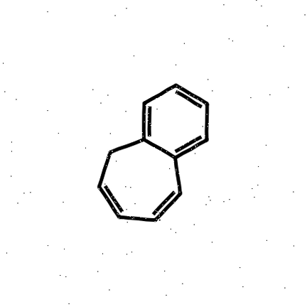 [C]1=Cc2ccccc2CC=C1